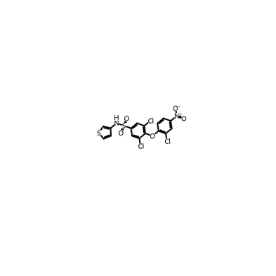 O=[N+]([O-])c1ccc(Oc2c(Cl)cc(S(=O)(=O)Nc3ccsc3)cc2Cl)c(Cl)c1